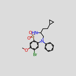 COc1cc2c(cc1Br)N(c1ccccc1)CC(CCC1CC1)NS2(=O)=O